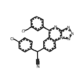 N#CC(c1ccc(Cl)cc1)c1ccc2c(c1)c(-c1cccc(Cl)c1)nc1nnnn12